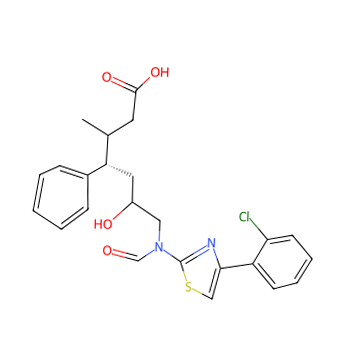 CC(CC(=O)O)[C@H](CC(O)CN(C=O)c1nc(-c2ccccc2Cl)cs1)c1ccccc1